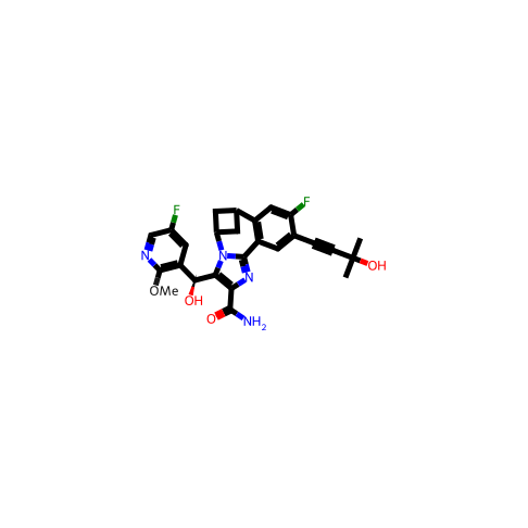 COc1ncc(F)cc1[C@H](O)c1c(C(N)=O)nc2n1C1CC(C1)c1cc(F)c(C#CC(C)(C)O)cc1-2